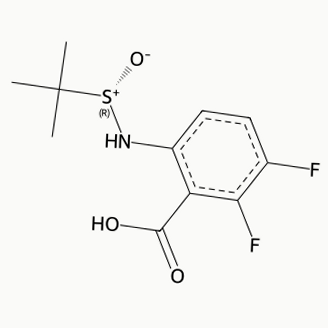 CC(C)(C)[S@+]([O-])Nc1ccc(F)c(F)c1C(=O)O